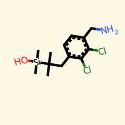 CC(C)(Cc1ccc(CN)c(Cl)c1Cl)[Si](C)(C)O